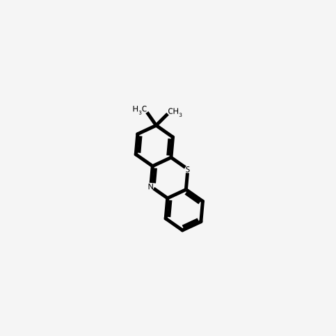 CC1(C)C=CC2=Nc3ccccc3SC2=C1